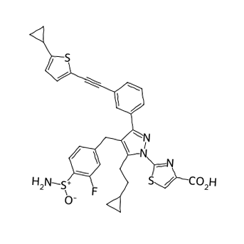 N[S+]([O-])c1ccc(Cc2c(-c3cccc(C#Cc4ccc(C5CC5)s4)c3)nn(-c3nc(C(=O)O)cs3)c2CCC2CC2)cc1F